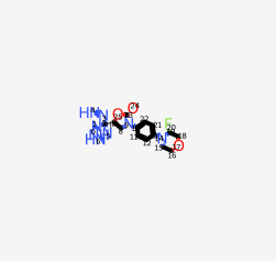 N=NC(N=N)(N=N)[C@H]1CN(c2ccc(N3CCOCC3F)cc2)C(=O)O1